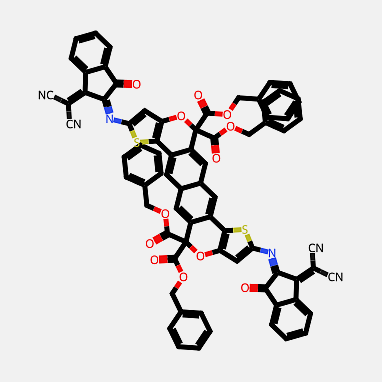 N#CC(C#N)=C1/C(=N/c2cc3c(s2)C2=CC4C=C5C(=CC4C=C2C(C(=O)OCc2ccccc2)(C(=O)OCc2ccccc2)O3)c2sc(/N=C3\C(=O)c4ccccc4C3=C(C#N)C#N)cc2OC5(C(=O)OCc2ccccc2)C(=O)OCc2ccccc2)C(=O)c2ccccc21